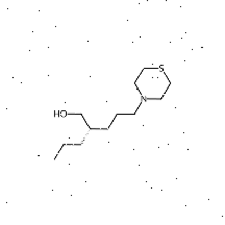 CCC[C@H](CO)CCCN1CCSCC1